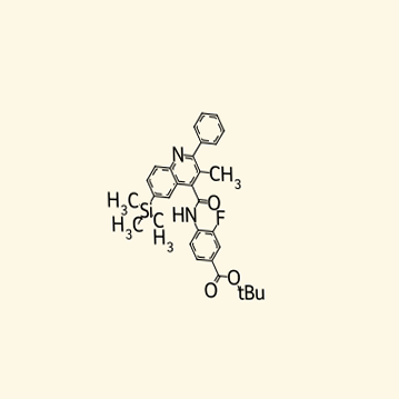 Cc1c(-c2ccccc2)nc2ccc([Si](C)(C)C)cc2c1C(=O)Nc1ccc(C(=O)OC(C)(C)C)cc1F